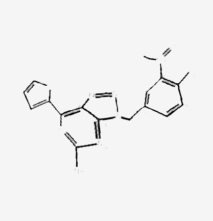 Nc1nc(-c2ccco2)c2nnn(Cc3ccc(Cl)c([N+](=O)[O-])c3)c2n1